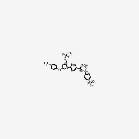 CCS(=O)(=O)c1ccc([C@H](CO)NC(=O)c2cnc(N3CC(Oc4ccc(C(F)(F)F)cc4)C[C@H]3COC(C)(F)F)nc2)nc1